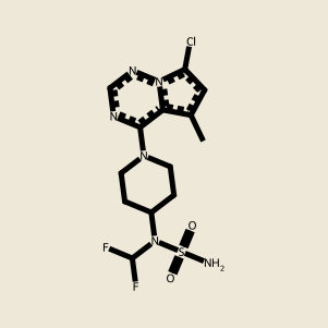 Cc1cc(Cl)n2ncnc(N3CCC(N(C(F)F)S(N)(=O)=O)CC3)c12